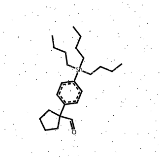 CCC[CH2][Sn]([CH2]CCC)([CH2]CCC)[c]1ccc(C2(C=O)CCCC2)cc1